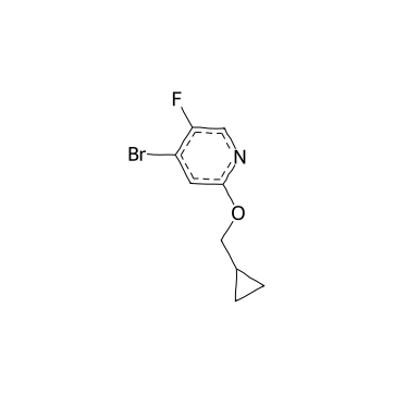 Fc1cnc(OCC2CC2)cc1Br